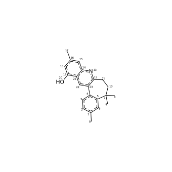 Cc1ccc2c(c1)C(C)(C)CCc1nc3cc(C)cc(O)c3cc1-2